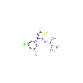 Cc1cn(-c2cc(Cl)cc(Cl)c2)c(=NC(=O)C(C(F)(F)F)C(F)(F)F)s1